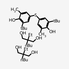 CCCCC(CC)(CO)CO.CCCCC(CC)(CO)CO.Cc1cc(Sc2cc(C)c(O)c(C(C)(C)C)c2)cc(C(C)(C)C)c1O